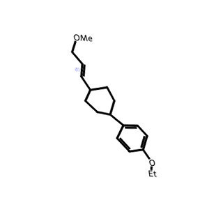 CCOc1ccc(C2CCC(/C=C/COC)CC2)cc1